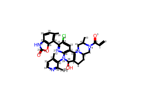 C=CC(=O)N1CC2CCC3=C(c4cc(Cl)c(-c5c(C)ccc6[nH]c(=O)oc56)nc4N(c4c(C)ccnc4C(C)C)C3O)N2CC1C